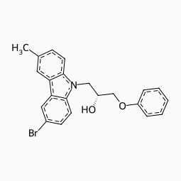 Cc1ccc2c(c1)c1cc(Br)ccc1n2C[C@@H](O)COc1ccccc1